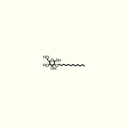 CCCCCCCCCCCCO[C@@H]1[C@@H](O)[C@H](O)[C@@H](CO)O[C@H]1S